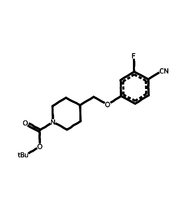 CC(C)(C)OC(=O)N1CCC(COc2ccc(C#N)c(F)c2)CC1